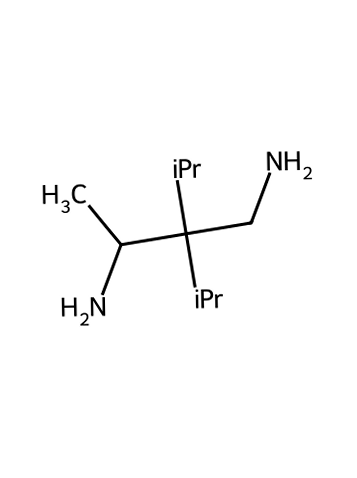 CC(C)C(CN)(C(C)C)C(C)N